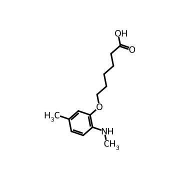 CNc1ccc(C)cc1OCCCCCC(=O)O